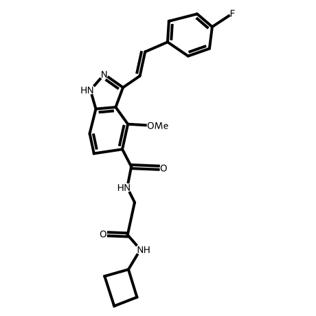 COc1c(C(=O)NCC(=O)NC2CCC2)ccc2[nH]nc(C=Cc3ccc(F)cc3)c12